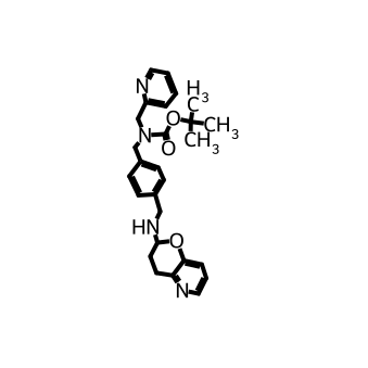 CC(C)(C)OC(=O)N(Cc1ccc(CNC2CCc3ncccc3O2)cc1)Cc1ccccn1